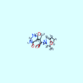 Cc1oc2ncn(C)c(=O)c2c1C(=O)N(CCC(C)C)Cc1ccco1